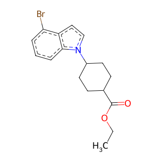 CCOC(=O)C1CCC(n2ccc3c(Br)cccc32)CC1